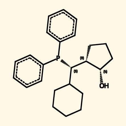 O[C@H]1CCC[C@H]1[C@H](C1CCCCC1)P(c1ccccc1)c1ccccc1